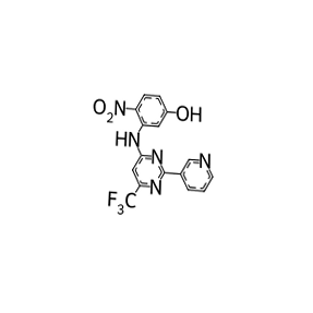 O=[N+]([O-])c1ccc(O)cc1Nc1cc(C(F)(F)F)nc(-c2cccnc2)n1